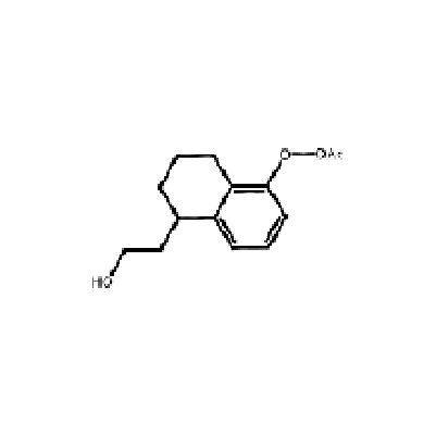 CC(=O)OOc1cccc2c1CCCC2CCO